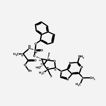 CC(C)OC(=O)[C@@H](C)N[P@@](=O)(Oc1cccc2ccccc12)O[C@H]1[C@]2(O)[C@@](C)(F)[C@H](n3cnc4c(N(C)C)nc(N)nc43)O[C@]12F